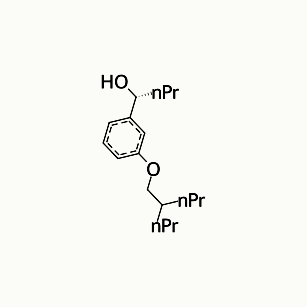 CCCC(CCC)COc1cccc([C@H](O)CCC)c1